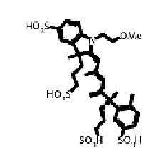 C=C(/C=C(C)/C=C1/N(CCOC)c2ccc(S(=O)(=O)O)cc2C1(C)CCCS(=O)(=O)O)C(C)(CCCS(=O)(=O)O)c1cc(S(=O)(=O)O)ccc1C